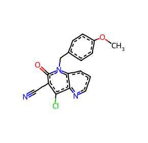 COc1ccc(Cn2c(=O)c(C#N)c(Cl)c3ncccc32)cc1